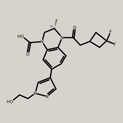 C[C@H]1CN(C(=O)O)c2cc(-c3cnn(CCO)c3)ccc2N1C(=O)CC1CC(F)(F)C1